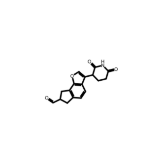 O=CC1Cc2ccc3c(C4CCC(=O)NC4=O)coc3c2C1